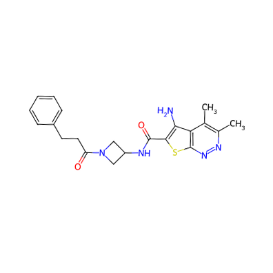 Cc1nnc2sc(C(=O)NC3CN(C(=O)CCc4ccccc4)C3)c(N)c2c1C